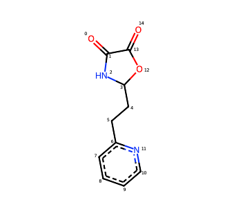 O=C1NC(CCc2ccccn2)OC1=O